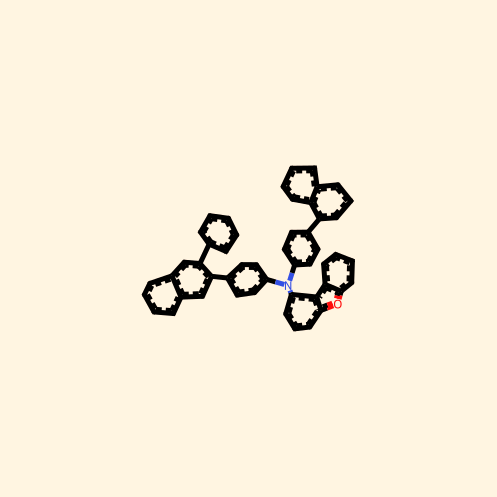 c1ccc(-c2cc3ccccc3cc2-c2ccc(N(c3ccc(-c4cccc5ccccc45)cc3)c3cccc4oc5ccccc5c34)cc2)cc1